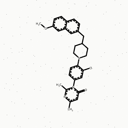 COc1ccc2ccc(CC3CCN(c4ccc(-n5c(C)nc(C)cc5=O)cc4Cl)CC3)cc2c1